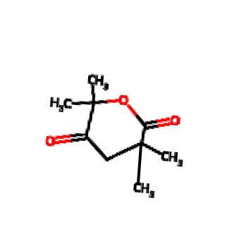 CC1(C)CC(=O)C(C)(C)OC1=O